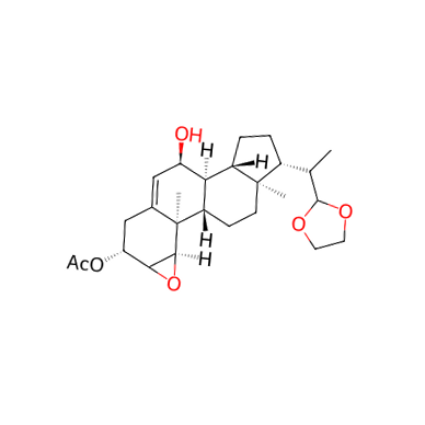 CC(=O)O[C@@H]1CC2=C[C@@H](O)[C@H]3[C@@H]4CC[C@H](C(C)C5OCCO5)[C@@]4(C)CC[C@@H]3[C@@]2(C)[C@H]2OC12